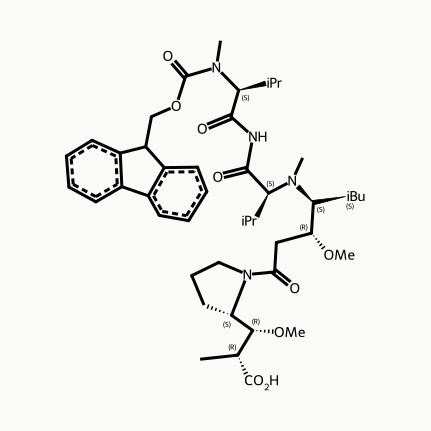 CC[C@H](C)[C@@H]([C@@H](CC(=O)N1CCC[C@H]1[C@H](OC)[C@@H](C)C(=O)O)OC)N(C)[C@H](C(=O)NC(=O)[C@H](C(C)C)N(C)C(=O)OCC1c2ccccc2-c2ccccc21)C(C)C